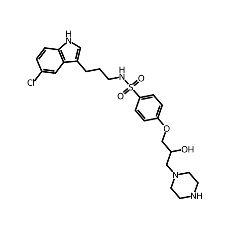 O=S(=O)(NCCCc1c[nH]c2ccc(Cl)cc12)c1ccc(OCC(O)CN2CCNCC2)cc1